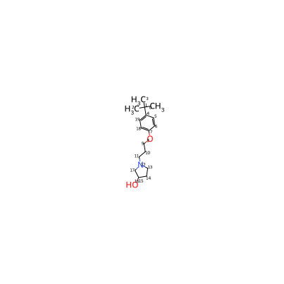 CC(C)(C)c1ccc(OCCCN2CCC(O)C2)cc1